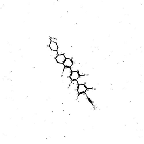 CCCCCC1CCC(C2CCc3c(ccc(-c4cc(F)c(-c5cc(F)c(C#CC(F)(F)F)c(F)c5)c(F)c4)c3F)C2)CC1